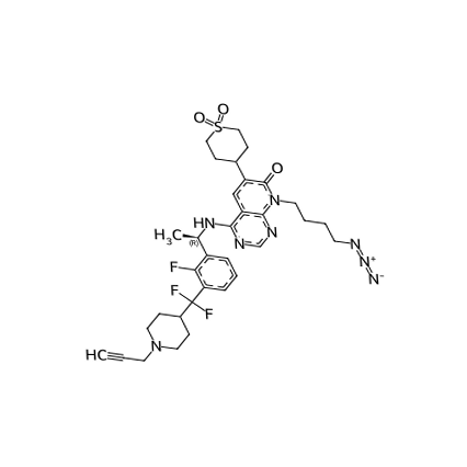 C#CCN1CCC(C(F)(F)c2cccc([C@@H](C)Nc3ncnc4c3cc(C3CCS(=O)(=O)CC3)c(=O)n4CCCCN=[N+]=[N-])c2F)CC1